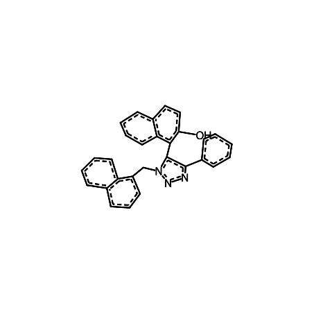 Oc1ccc2ccccc2c1-c1c(-c2ccccc2)nnn1Cc1cccc2ccccc12